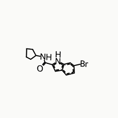 O=C(NC1CCCC1)c1cc2ccc(Br)cc2[nH]1